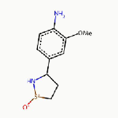 COc1cc(C2CC[S+]([O-])N2)ccc1N